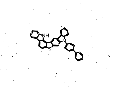 c1ccc(-c2ccc(-n3c4ccccc4c4cc5c(cc43)sc3ccc4c6ccccc6[nH]c4c35)cc2)cc1